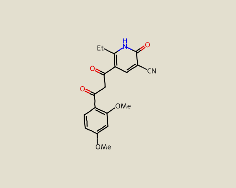 CCc1[nH]c(=O)c(C#N)cc1C(=O)CC(=O)c1ccc(OC)cc1OC